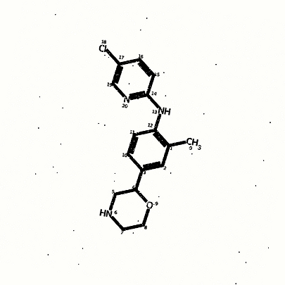 Cc1cc(C2CNCCO2)ccc1Nc1ccc(Cl)cn1